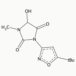 CN1C(=O)N(c2cc(C(C)(C)C)on2)C(=O)C1O